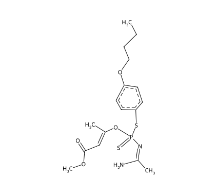 CCCCOc1ccc(SP(=S)(N=C(C)N)OC(C)=CC(=O)OC)cc1